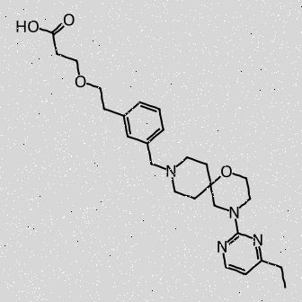 CCc1ccnc(N2CCOC3(CCN(Cc4cccc(CCOCCC(=O)O)c4)CC3)C2)n1